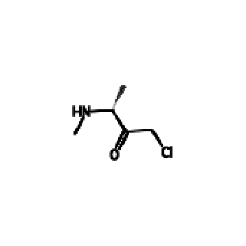 CN[C@H](C)C(=O)CCl